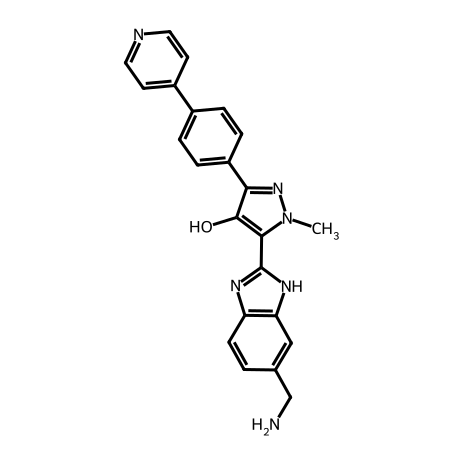 Cn1nc(-c2ccc(-c3ccncc3)cc2)c(O)c1-c1nc2ccc(CN)cc2[nH]1